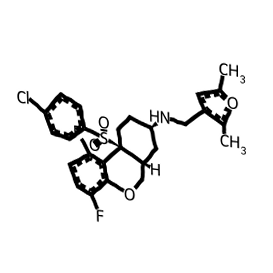 Cc1cc(CN[C@@H]2CC[C@@]3(S(=O)(=O)c4ccc(Cl)cc4)c4c(F)ccc(F)c4OC[C@H]3C2)c(C)o1